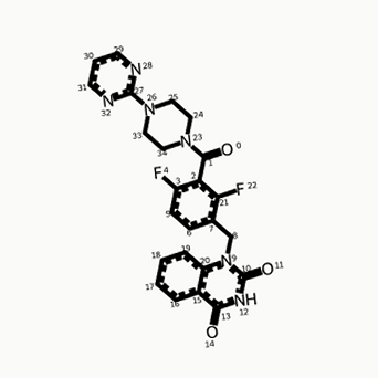 O=C(c1c(F)ccc(Cn2c(=O)[nH]c(=O)c3ccccc32)c1F)N1CCN(c2ncccn2)CC1